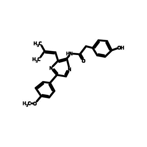 COc1ccc(-c2cnc(NC(=O)Cc3ccc(O)cc3)c(C=C(C)C)n2)cc1